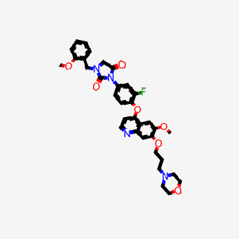 COc1ccccc1CN1CC(=O)N(c2ccc(Oc3ccnc4cc(OCCCN5CCOCC5)c(OC)cc34)c(F)c2)C1=O